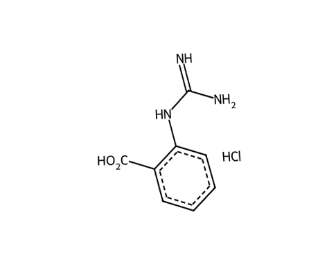 Cl.N=C(N)Nc1ccccc1C(=O)O